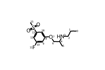 CCCNC(C)COc1cc(F)cc(S(C)(=O)=O)c1